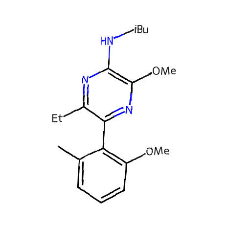 CCc1nc(NC(C)CC)c(OC)nc1-c1c(C)cccc1OC